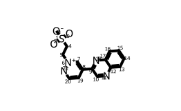 O=S(=O)([O-])CC[n+]1cc(-c2cnc3ccccc3n2)ccn1